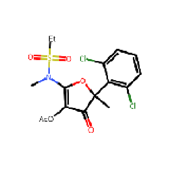 CCS(=O)(=O)N(C)C1=C(OC(C)=O)C(=O)C(C)(c2c(Cl)cccc2Cl)O1